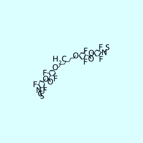 C=C(CCCOc1cc(F)c(C(=O)Oc2cc(F)c(N=C=S)c(F)c2)c(F)c1)CCCOc1cc(F)c(C(=O)Oc2cc(F)c(N=C=S)c(F)c2)c(F)c1